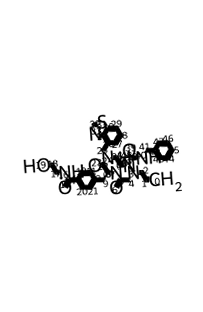 C=CCN1CC(=O)N2[C@@H](Cc3ccc(C(=O)NCCO)cc3)C(=O)N(Cc3cccc4scnc34)C[C@@H]2N1C(=O)NCc1ccccc1